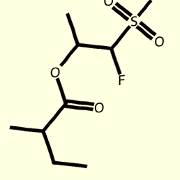 CCC(C)C(=O)OC(C)C(F)S(=O)(=O)O